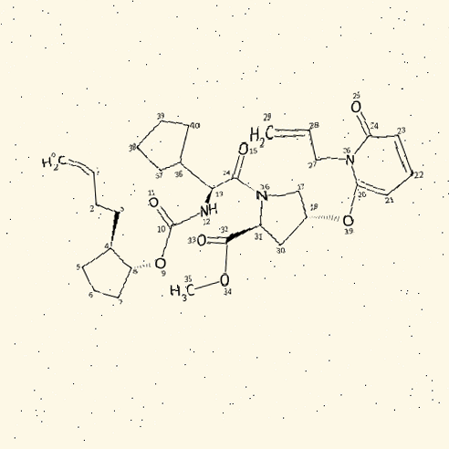 C=CCC[C@@H]1CCC[C@H]1OC(=O)N[C@H](C(=O)N1C[C@H](Oc2cccc(=O)n2CC=C)C[C@H]1C(=O)OC)C1CCCC1